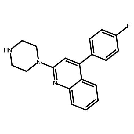 Fc1ccc(-c2cc(N3CCNCC3)nc3ccccc23)cc1